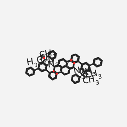 C[Si](C)(C)c1ccccc1N(c1c(F)cc(-c2ccccc2)cc1-c1ccccc1)c1ccc2ccc3c(N(c4ccccc4[Si](C)(C)C)c4c(F)cc(-c5ccccc5)cc4-c4ccccc4)ccc4ccc1c2c43